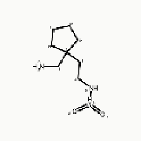 NCC1(CCN[SH](=O)=O)CCCC1